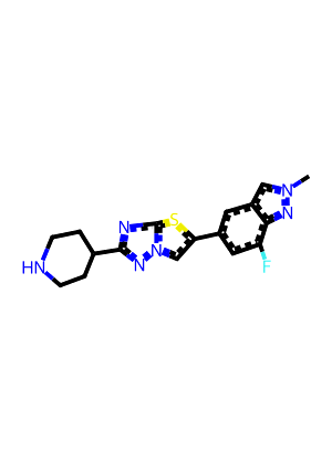 Cn1cc2cc(-c3cn4nc(C5CCNCC5)nc4s3)cc(F)c2n1